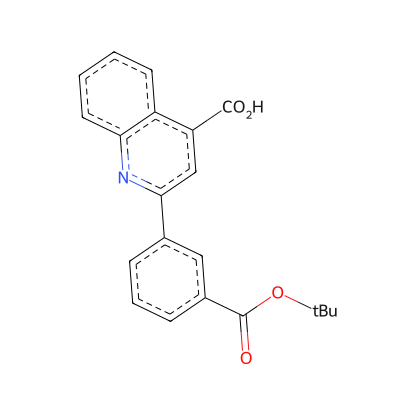 CC(C)(C)OC(=O)c1cccc(-c2cc(C(=O)O)c3ccccc3n2)c1